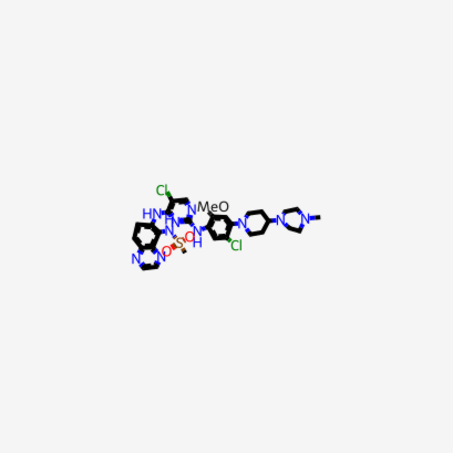 COc1cc(N2CCC(N3CCN(C)CC3)CC2)c(Cl)cc1Nc1ncc(Cl)c(Nc2ccc3nccnc3c2NS(C)(=O)=O)n1